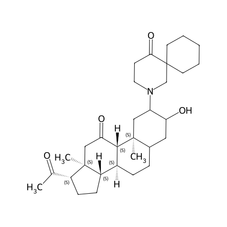 CC(=O)[C@H]1CC[C@H]2[C@@H]3CCC4CC(O)C(N5CCC(=O)C6(CCCCC6)C5)C[C@]4(C)[C@H]3C(=O)C[C@]12C